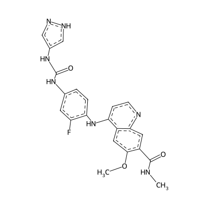 CNC(=O)c1cc2nccc(Nc3ccc(NC(=O)Nc4cn[nH]c4)cc3F)c2cc1OC